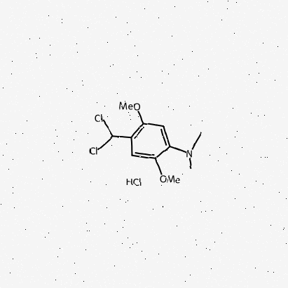 COc1cc(N(C)C)c(OC)cc1C(Cl)Cl.Cl